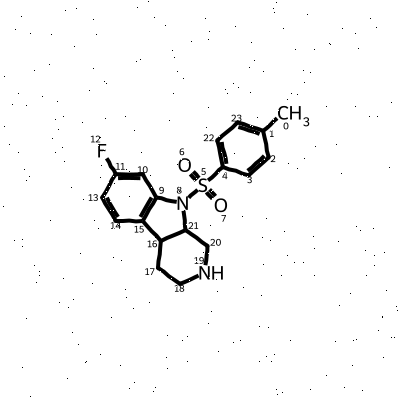 Cc1ccc(S(=O)(=O)N2c3cc(F)ccc3C3CCNCC32)cc1